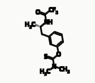 C[C@@H](Cc1cccc(OC(=S)N(C)C)c1)NC(=O)C(F)(F)F